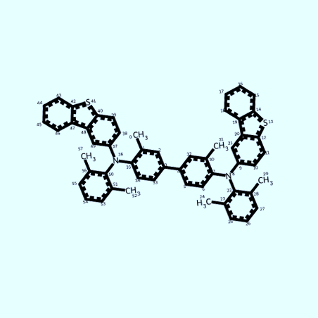 Cc1cc(-c2ccc(N(c3ccc4sc5ccccc5c4c3)c3c(C)cccc3C)c(C)c2)ccc1N(c1ccc2sc3ccccc3c2c1)c1c(C)cccc1C